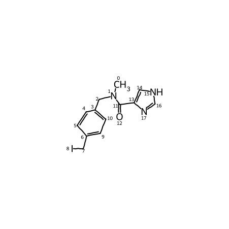 CN(Cc1ccc(CI)cc1)C(=O)c1c[nH]cn1